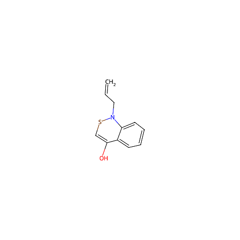 C=CCN1SC=C(O)c2ccccc21